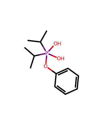 CC(C)P(O)(O)(Oc1ccccc1)C(C)C